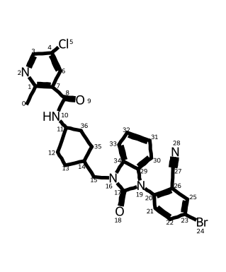 Cc1ncc(Cl)cc1C(=O)NC1CCC(Cn2c(=O)n(-c3ccc(Br)cc3C#N)c3ccccc32)CC1